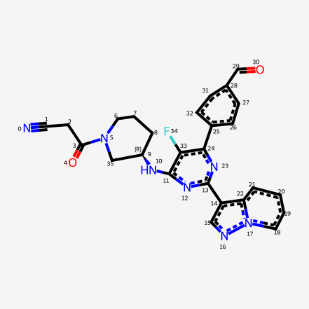 N#CCC(=O)N1CCC[C@@H](Nc2nc(-c3cnn4ccccc34)nc(-c3ccc(C=O)cc3)c2F)C1